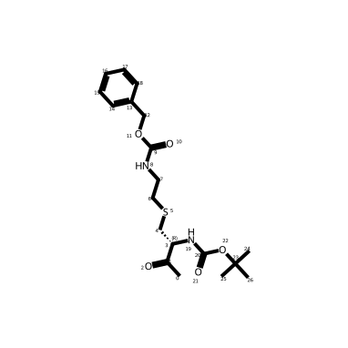 CC(=O)[C@H](CSCCNC(=O)OCc1ccccc1)NC(=O)OC(C)(C)C